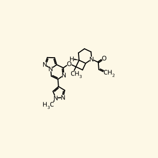 C=CC(=O)N1CCC[C@@H]2C1CC2(C)Oc1nc(-c2cnn(C)c2)cn2nccc12